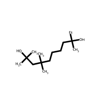 CCC(C)(O)CCCCC(C)(C)CC(C)(C)O